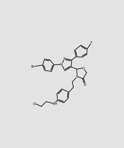 O=C1COC(c2cn(-c3ccc(Br)cc3)nc2-c2ccc(F)cc2)N1CCc1ccc(NCCCl)cc1